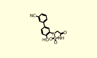 N#Cc1cccc(-c2ccc(O)c(N3CC(=O)NS3(=O)=O)c2)c1